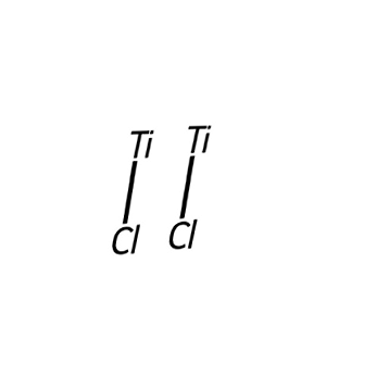 [Cl][Ti].[Cl][Ti]